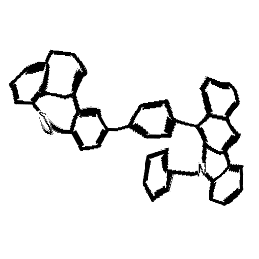 c1ccc(-n2c3ccccc3c3cc4ccccc4c(-c4ccc(-c5ccc6c(c5)-c5cccc7cccc(c57)S6)cc4)c32)cc1